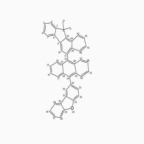 CC1(C)c2ccccc2-c2cc(-c3c4ccccc4c(-c4ccc5oc6ccccc6c5c4)c4ccccc34)c3ccccc3c21